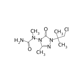 Cc1nn(C(C)(C)CCl)c(=O)n1N(C)C(N)=O